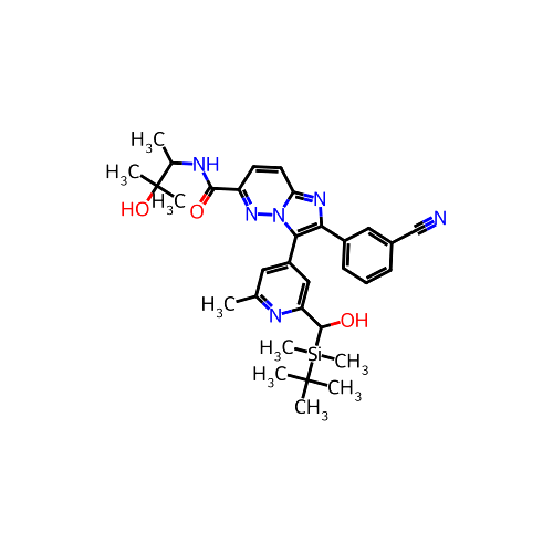 Cc1cc(-c2c(-c3cccc(C#N)c3)nc3ccc(C(=O)NC(C)C(C)(C)O)nn23)cc(C(O)[Si](C)(C)C(C)(C)C)n1